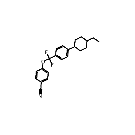 CCC1CCC(c2ccc(C(F)(F)Oc3ccc(C#N)cc3)cc2)CC1